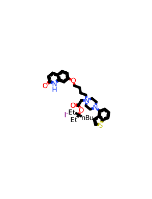 CCCCC(CC)(CC)OC(=O)C[N+]1(CCCCOc2ccc3ccc(=O)[nH]c3c2)CCN(c2cccc3sccc23)CC1.[I-]